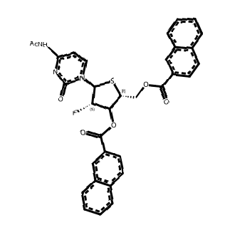 CC(=O)Nc1ccn(C2S[C@H](COC(=O)c3ccc4ccccc4c3)C(OC(=O)c3ccc4ccccc4c3)[C@@H]2F)c(=O)n1